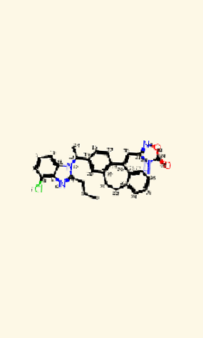 CCCc1nc2c(Cl)cccc2n1C(C)c1ccc2c(c1)CCc1ccccc1C2=Cc1noc(=O)[nH]1